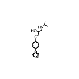 CC(C)NCC(O)COc1ccc(-n2cccc2)cc1